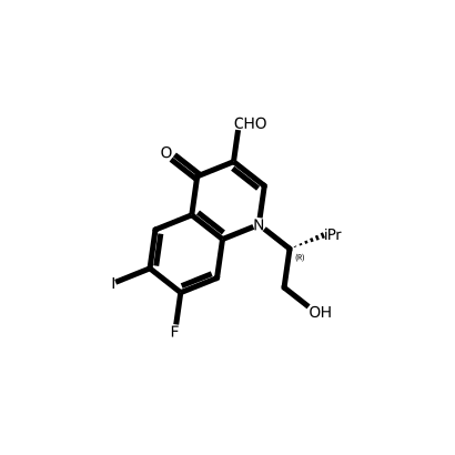 CC(C)[C@H](CO)n1cc(C=O)c(=O)c2cc(I)c(F)cc21